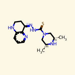 C[C@@H]1CN(C(=S)N/N=C2/CCNc3cccnc32)C[C@H](C)N1